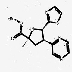 CC(C)(C)OC(=O)[C@]1(C)C[C@H](c2cnccn2)[C@H](c2nccs2)N1